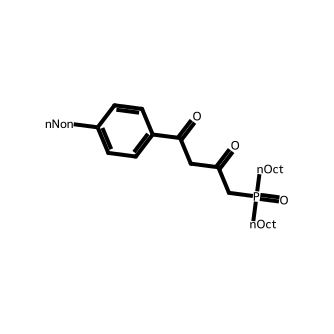 CCCCCCCCCc1ccc(C(=O)CC(=O)CP(=O)(CCCCCCCC)CCCCCCCC)cc1